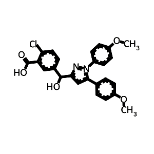 COc1ccc(-c2cc(C(O)c3ccc(Cl)c(C(=O)O)c3)nn2-c2ccc(OC)cc2)cc1